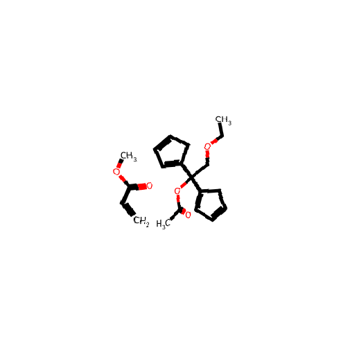 C=CC(=O)OC.CCOCC(OC(C)=O)(C1=CC=CC1)C1=CC=CC1